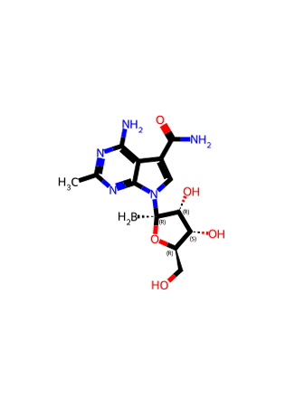 B[C@@]1(n2cc(C(N)=O)c3c(N)nc(C)nc32)O[C@H](CO)[C@@H](O)[C@H]1O